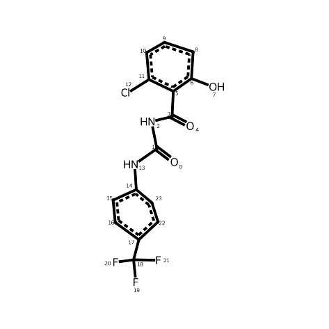 O=C(NC(=O)c1c(O)cccc1Cl)Nc1ccc(C(F)(F)F)cc1